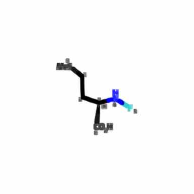 CSCC[C@@H](NF)C(=O)O